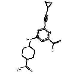 CC(=O)N1CCC(Nc2cc(C(=O)O)nc(C#CC3CC3)n2)CC1